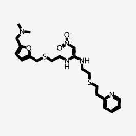 CN(C)Cc1ccc(CSCCNC(=C[N+](=O)[O-])NCCSCCc2ccccn2)o1